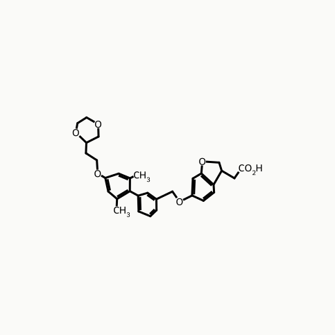 Cc1cc(OCCC2COCCO2)cc(C)c1-c1cccc(COc2ccc3c(c2)OCC3CC(=O)O)c1